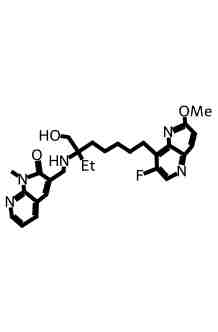 CCC(CO)(CCCCCc1c(F)cnc2ccc(OC)nc12)NCc1cc2cccnc2n(C)c1=O